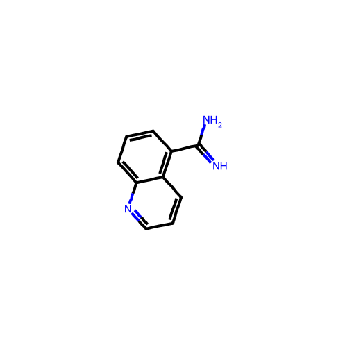 N=C(N)c1cccc2ncccc12